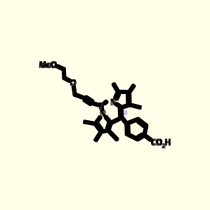 COCCOCC#CB(C)n1c(C)c(C)c(C)c1/C(=C1\N=C(C)C(C)=C1C)c1ccc(C(=O)O)cc1